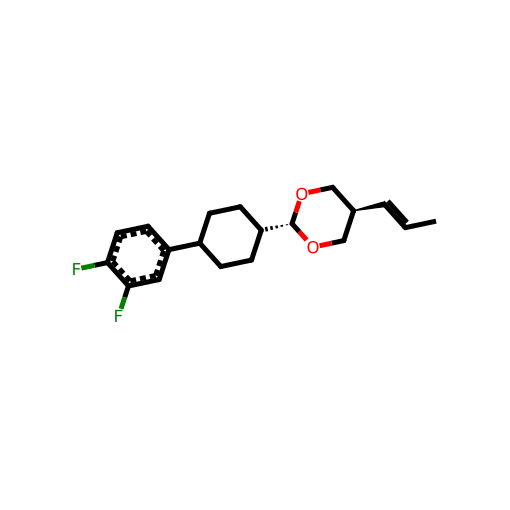 C/C=C/[C@H]1CO[C@H](C2CCC(c3ccc(F)c(F)c3)CC2)OC1